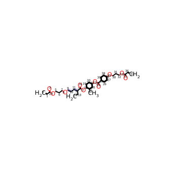 C=CC(=O)OCCCO/C=C/C=C(\C=C)C(=O)Oc1ccc(OC(=O)c2ccc(OCCCOC(=O)C=C)cc2)cc1C